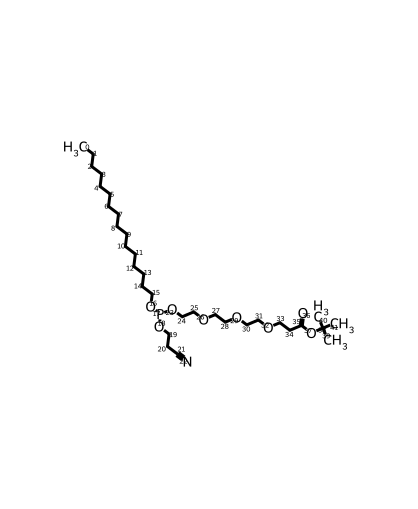 CCCCCCCCCCCCCCCCOP(OCCC#N)OCCOCCOCCOCCC(=O)OC(C)(C)C